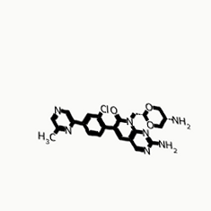 Cc1cncc(-c2ccc(-c3cc4cnc(N)nc4n(C[C@H]4OC[C@@H](N)CO4)c3=O)c(Cl)c2)n1